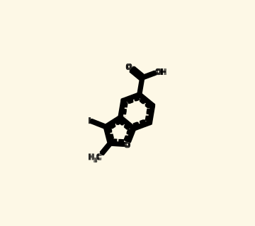 Cc1oc2ccc(C(=O)O)cc2c1I